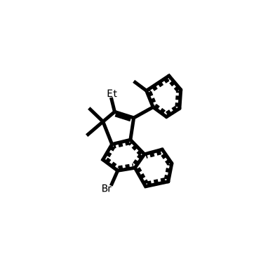 CCC1=C(c2ccccc2C)c2c(cc(Br)c3ccccc23)C1(C)C